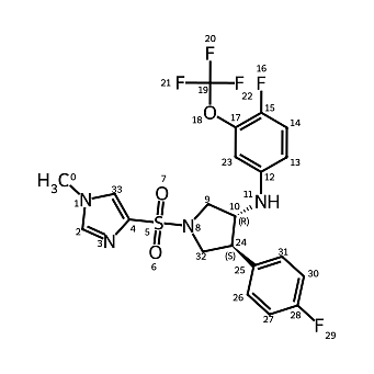 Cn1cnc(S(=O)(=O)N2C[C@H](Nc3ccc(F)c(OC(F)(F)F)c3)[C@@H](c3ccc(F)cc3)C2)c1